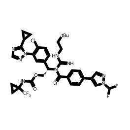 CC(C)(C)CCNC(=N)N(C(=O)c1ccc(-c2cnn(C(F)F)c2)cc1)[C@H](COC(=O)NC1(C(F)(F)F)CC1)c1ccc(Cl)c(-n2ncnc2C2CC2)c1